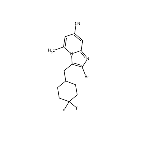 CC(=O)c1nc2cc(C#N)cc(C)n2c1CC1CCC(F)(F)CC1